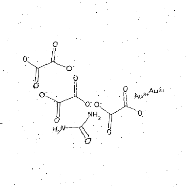 NC(N)=O.O=C([O-])C(=O)[O-].O=C([O-])C(=O)[O-].O=C([O-])C(=O)[O-].[Au+3].[Au+3]